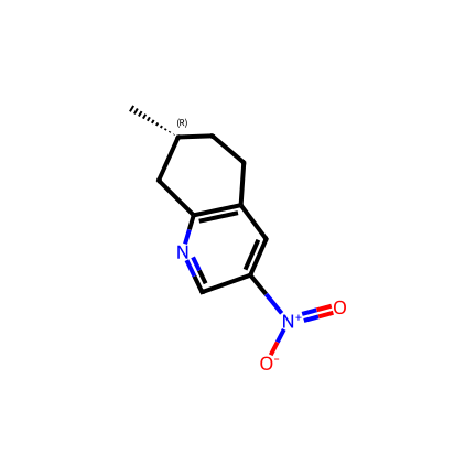 C[C@@H]1CCc2cc([N+](=O)[O-])cnc2C1